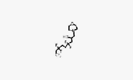 OC(CN1CCOCC1)CC(F)(F)CCC(F)(F)CC(F)(F)F